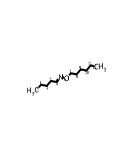 CCCCC=NOCCCCCC